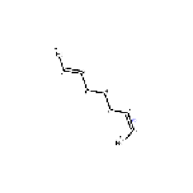 CCC=CCCC/C=C\C#N